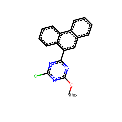 CCCCCCOc1nc(Cl)nc(-c2cc3ccccc3c3ccccc23)n1